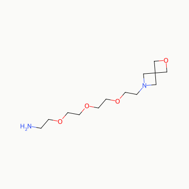 NCCOCCOCCOCCN1CC2(COC2)C1